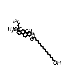 CC(C)CCC[C@@H](C)[C@H]1CCC2C3CC=C4CC(OC(=O)CCCCCCCCCCCCCCCCCO)CC[C@]4(C)C3CC[C@@]21C